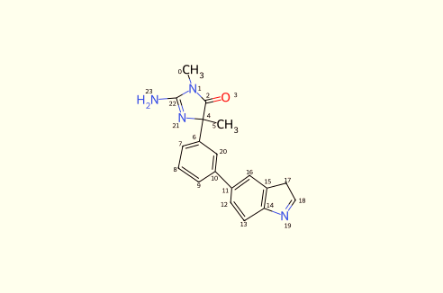 CN1C(=O)C(C)(c2cccc(-c3ccc4c(c3)CC=N4)c2)N=C1N